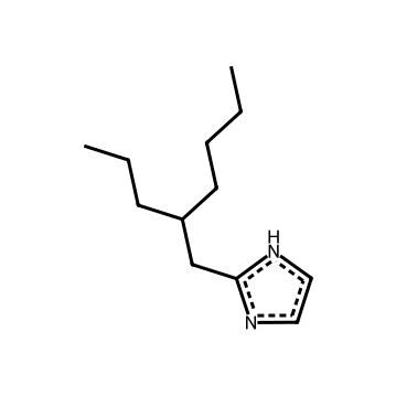 CCCCC(CCC)Cc1ncc[nH]1